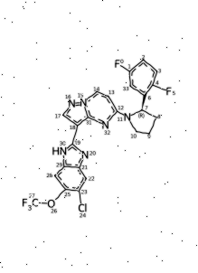 Fc1ccc(F)c([C@H]2CCCN2c2ccn3ncc(-c4nc5cc(Cl)c(OC(F)(F)F)cc5[nH]4)c3n2)c1